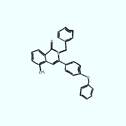 Cc1cccc2c(=O)n(Cc3ccccc3)c(-c3ccc(Oc4ccccc4)cc3)cc12